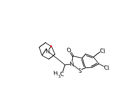 CC(N1CC2CCC(CC2)C1)n1sc2cc(Cl)c(Cl)cc2c1=O